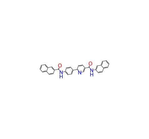 O=C(Nc1ccc2ccccc2c1)c1ccc(-c2ccc(NC(=O)c3ccc4ccccc4c3)cc2)nc1